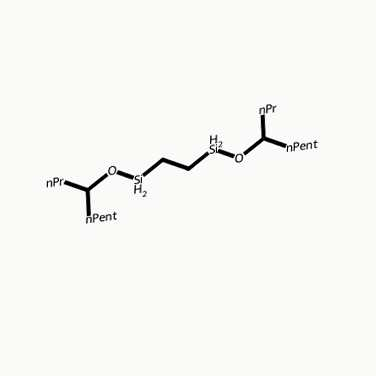 CCCCCC(CCC)O[SiH2]CC[SiH2]OC(CCC)CCCCC